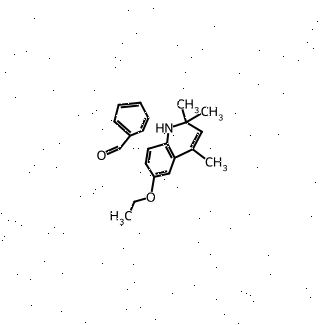 CCOc1ccc2c(c1)C(C)=CC(C)(C)N2.O=Cc1ccccc1